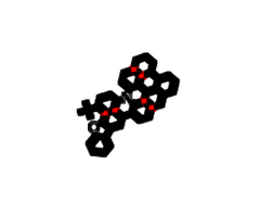 CC(C)(C)c1ccc(N(c2ccccc2-c2ccc3oc4ccccc4c3c2)c2ccccc2-c2cccc3cccc(C4CCCCC4)c23)cc1